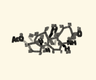 CC(=O)O[C@H]1CC[C@H]2[C@@H]3CC[C@H]4NC(=O)CC[C@]4(C)[C@H]3CC[C@]12C